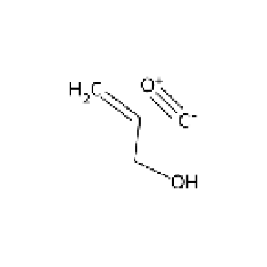 C=CCO.[C-]#[O+]